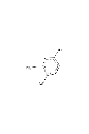 [CH2]C(C)c1ccc(C#N)c(C#N)c1